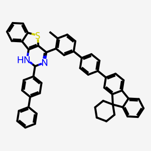 Cc1ccc(-c2ccc(-c3ccc4c(c3)C3(CCCCC3)c3ccccc3-4)cc2)cc1C1=NC(c2ccc(-c3ccccc3)cc2)Nc2c1sc1ccccc21